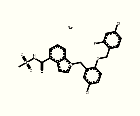 CS(=O)(=O)NC(=O)c1cccc2c1ccn2Cc1cc(Cl)ccc1OCc1ccc(Cl)cc1F.[Na]